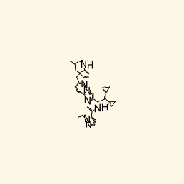 C=CC1(Cc2ccc3nc(C(NC(=C)c4ccnn4CC)C(C4CC4)C4CC4)cn3n2)CC(C)CNC1=C